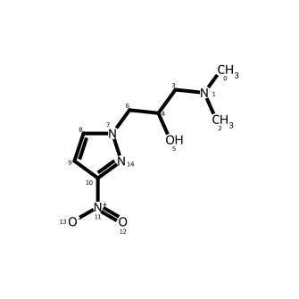 CN(C)CC(O)Cn1ccc([N+](=O)[O-])n1